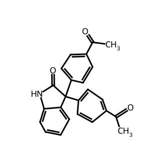 CC(=O)c1ccc(C2(c3ccc(C(C)=O)cc3)C(=O)Nc3ccccc32)cc1